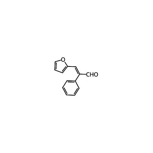 O=C/C(=C/c1ccco1)c1ccccc1